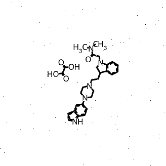 CN(C)C(=O)CN1CC(CCN2CCN(c3ccc4[nH]ccc4c3)CC2)c2ccccc21.O=C(O)C(=O)O